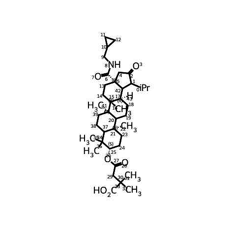 CC(C)C1C(=O)C[C@]2(C(=O)NCC3CC3)CC[C@]3(C)[C@H](CCC4[C@@]5(C)CC[C@H](OC(=O)CC(C)(C)C(=O)O)C(C)(C)C5CC[C@]43C)C12